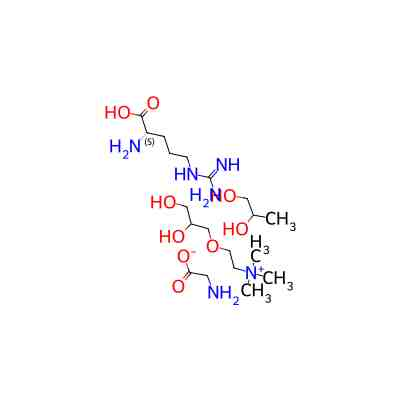 CC(O)CO.C[N+](C)(C)CCOCC(O)CO.N=C(N)NCCC[C@H](N)C(=O)O.NCC(=O)[O-]